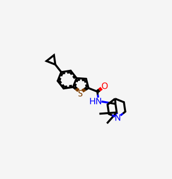 CC1(C)C(NC(=O)c2cc3cc(C4CC4)ccc3s2)C2CCN1CC2